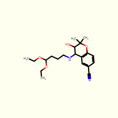 CCOC(CCCNC1c2cc(C#N)ccc2OC(C)(C)C1O)OCC